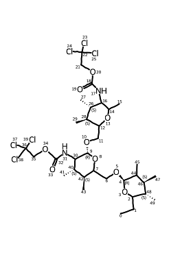 CCC1O[C@@H](OCC2O[C@@H](OCC3OC(C)C(NC(=O)OCC(Cl)(Cl)Cl)[C@@H](C)[C@@H]3C)C(NC(=O)OCC(Cl)(Cl)Cl)[C@@H](C)[C@@H]2C)C(C)[C@@H](C)[C@@H]1C